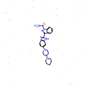 NC(=O)n1nc(-c2nc3ccc(N4CCC(N5CCCCC5)CC4)cc3[nH]2)c2cc[c]cc21